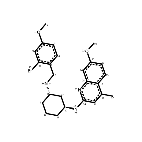 COc1ccc(CN[C@H]2CCC[C@H](Nc3cc(C)c4ccc(OC)cc4n3)C2)c(Br)c1